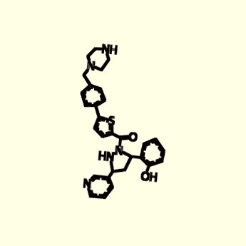 O=C(c1ccc(-c2ccc(CN3CCNCC3)cc2)s1)N1NC(c2cccnc2)CC1c1ccccc1O